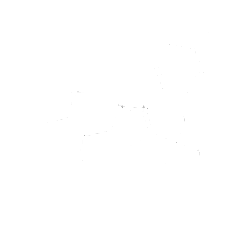 CC(O)C(=O)c1cc(C(F)(F)F)n(-c2ccc(F)cc2)n1